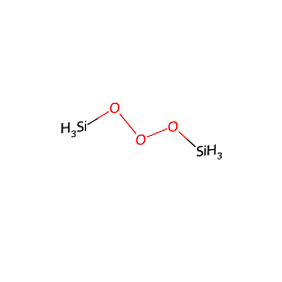 [SiH3]OOO[SiH3]